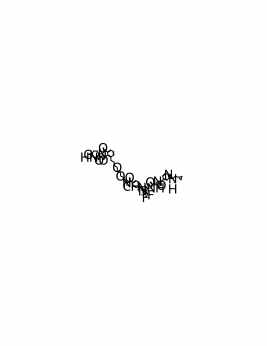 CN(CCOCCOCCCc1cccc2c1C(=O)N(C1CCC(=O)NC1=O)C2=O)C(=O)c1ccc(-n2cc(NC(=O)c3coc(-c4ccnc(NCC5CC5)c4)n3)c(C(F)F)n2)cc1